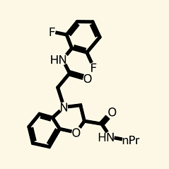 CCCNC(=O)C1CN(CC(=O)Nc2c(F)cccc2F)c2ccccc2O1